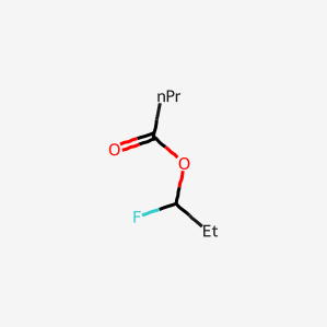 CCCC(=O)OC(F)CC